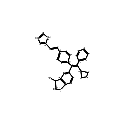 FC1NNc2ccc(/C(=C(/c3ccccc3)C3CCC3)c3ccc(/C=C/c4cnc[nH]4)cc3)cc21